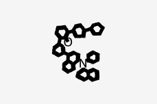 C1=C(c2ccc(-c3cccc4c3oc3c(-c5ccc(N(c6ccccc6)c6cccc7ccccc67)c6ccccc56)cccc34)cc2)CCCC1